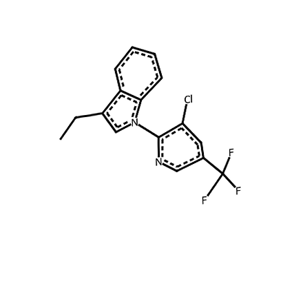 CCc1cn(-c2ncc(C(F)(F)F)cc2Cl)c2ccccc12